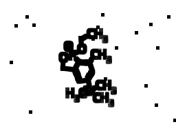 CCOP1(=O)OCc2cc([Si](C)(C)C)cc(C)c21